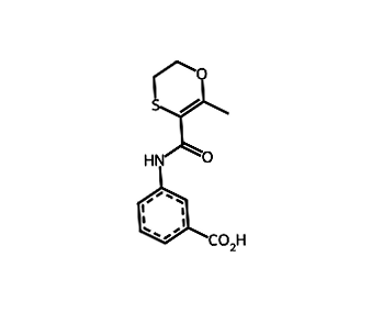 CC1=C(C(=O)Nc2cccc(C(=O)O)c2)SCCO1